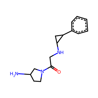 NC1CCN(C(=O)CNC2CC2c2ccccc2)C1